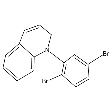 Brc1ccc(Br)c(N2CC=Cc3ccccc32)c1